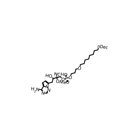 CCCCCCCCCCCCCCCCCCOCCCOP(=O)(O)OC[C@@](C#N)(OC)[C@@H](O)Cc1ccc2c(N)ncnn12